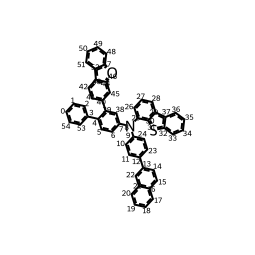 c1ccc(-c2ccc(N(c3ccc(-c4ccc5ccccc5c4)cc3)c3cccc4c3sc3ccccc34)cc2-c2ccc3c(c2)oc2ccccc23)cc1